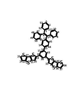 c1ccc(C(=C(c2ccccc2)c2ccc(-c3cc(-c4cc5sc6ccsc6c5s4)cc(-c4cc5sc6ccsc6c5s4)c3)cc2)c2ccccc2)cc1